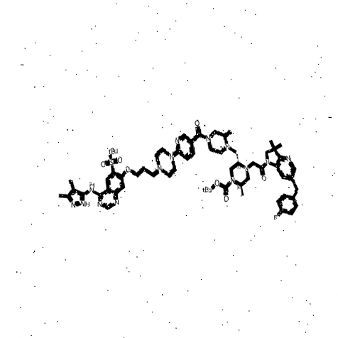 Cc1n[nH]c(Nc2ncnc3cc(OCCCN4CCN(c5ccc(C(=O)N6CCN(C[C@H]7CN(C(=O)OC(C)(C)C)[C@H](C)CN7CC(=O)N7CC(C)(C)c8ncc(Cc9ccc(F)cc9)cc87)C(C)C6)cn5)CC4)c(S(=O)(=O)C(C)(C)C)cc23)c1C